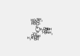 Cc1cc(CN2CCCN(Cc3cc(C)cc(C(O)(CO)C(N)=O)c3O)CCN(Cc3cc(C)cc(C(O)(CO)C(N)=O)c3O)CC2)c(O)c(C(O)(CO)C(N)=O)c1